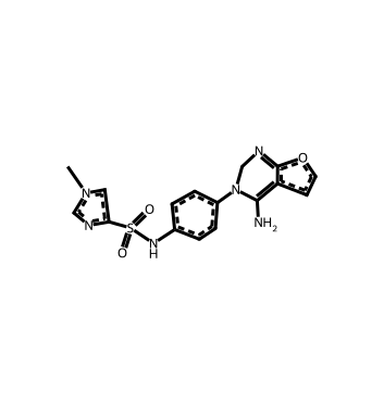 Cn1cnc(S(=O)(=O)Nc2ccc(N3CN=c4occc4=C3N)cc2)c1